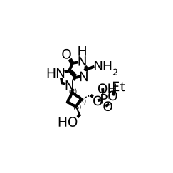 CCOP(=O)(O)OC[C@@H]1[C@@H](CO)C[C@H]1N1CNc2c1nc(N)[nH]c2=O